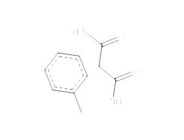 Cc1ccccc1.NC(=O)CC(N)=O